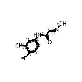 O=C(/C=N/O)Nc1ccc(F)c(Cl)c1